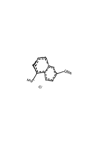 COc1ccc2[c]([Mg+])cccc2c1.[Cl-]